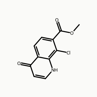 COC(=O)c1ccc2c(=O)cc[nH]c2c1Cl